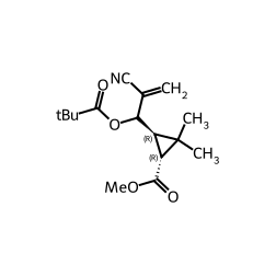 C=C(C#N)C(OC(=O)C(C)(C)C)[C@@H]1[C@@H](C(=O)OC)C1(C)C